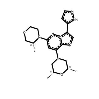 C[C@@H]1CN(c2cc(N3CCOC[C@H]3C)nn3c(-c4ccn[nH]4)cnc23)C[C@H](C)O1